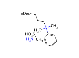 CCCCCCCCCCCCC[N+](C)(C)c1ccccc1.CS(=O)(=O)O.N